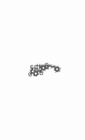 CCOC(=O)c1cc(=O)c2cccc(NC(=O)c3cc4c(cc3Cl)OC(CCCc3ccccc3)C4)c2o1